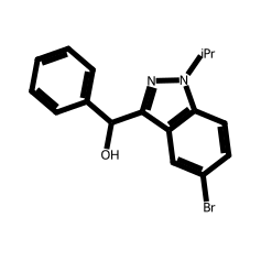 CC(C)n1nc(C(O)c2ccccc2)c2cc(Br)ccc21